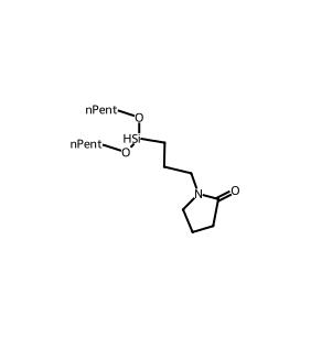 CCCCCO[SiH](CCCN1CCCC1=O)OCCCCC